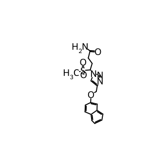 CS(=O)(=O)C(CCC(N)=O)n1cc(COc2ccc3ccccc3c2)nn1